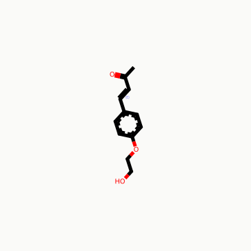 CC(=O)/C=C/c1ccc(OCCO)cc1